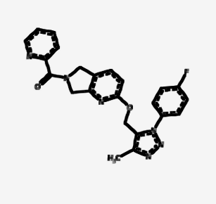 Cc1nnn(-c2ccc(F)cc2)c1COc1ccc2c(n1)CN(C(=O)c1ccccn1)C2